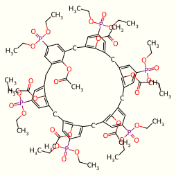 CCOP(=O)(OCC)c1cc2c(OC(C)=O)c(c1)Cc1cc(P(=O)(OCC)OCC)cc(c1OC(C)=O)Cc1cc(P(=O)(OCC)OCC)cc(c1OC(C)=O)Cc1cc(P(=O)(OCC)OCC)cc(c1OC(C)=O)Cc1cc(P(=O)(OCC)OCC)cc(c1OC(C)=O)Cc1cc(P(=O)(OCC)OCC)cc(c1OC(C)=O)C2